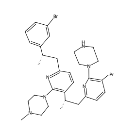 CC(C)c1ccc(C[C@H](C)c2ccc(C[C@H](C)c3cccc(Br)c3)nc2N2CCN(C)CC2)nc1N1CCNCC1